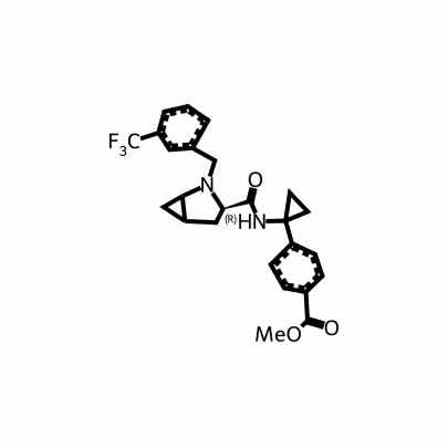 COC(=O)c1ccc(C2(NC(=O)[C@H]3CC4CC4N3Cc3cccc(C(F)(F)F)c3)CC2)cc1